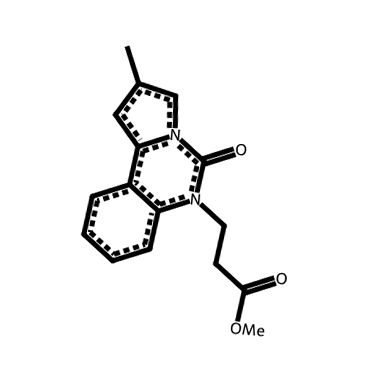 COC(=O)CCn1c(=O)n2cc(C)cc2c2ccccc21